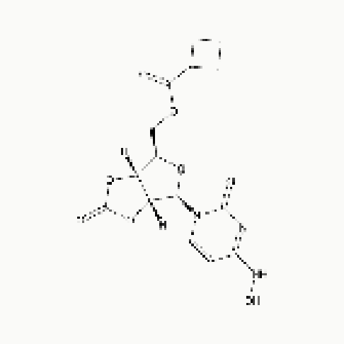 O=C1O[C@@H]2[C@H](O1)[C@@H](COC(=O)C1CCC1)O[C@H]2n1ccc(NO)nc1=O